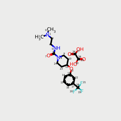 CN(C)CCNC(=O)N1CCC(Oc2cccc(C(F)(F)F)c2)CC1.O=C(O)C(=O)O